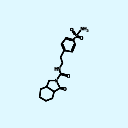 NS(=O)(=O)c1ccc(CCNC(=O)N2CC3CCCCC3C2=O)cc1